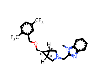 Cn1c(CN2C[C@@H]3[C@@H](COCc4cc(C(F)(F)F)ccc4C(F)(F)F)[C@@H]3C2)nc2ccccc21